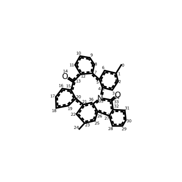 Cc1ccc2c(c1)c1ccccc1c(=O)c1ccccc1c1cc(C)cc3c4ccccc4c(=O)n2c13